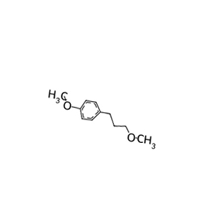 COCCCc1ccc(OC)cc1